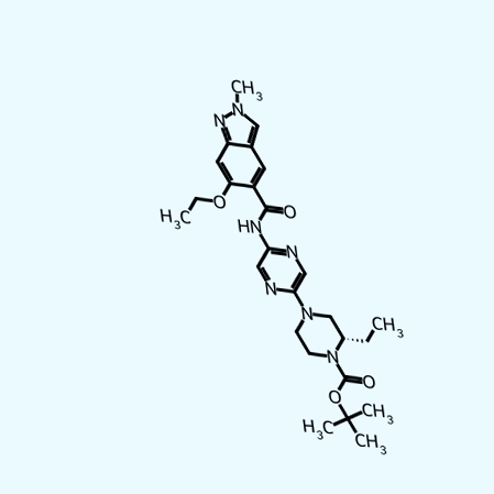 CCOc1cc2nn(C)cc2cc1C(=O)Nc1cnc(N2CCN(C(=O)OC(C)(C)C)[C@@H](CC)C2)cn1